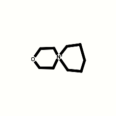 C1CC[N+]2(CC1)CCOCC2